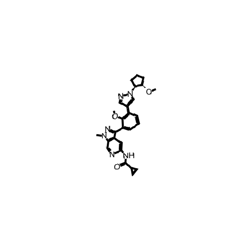 COc1c(-c2cnn([C@H]3CCC[C@@H]3OC)c2)cccc1-c1nn(C)c2cnc(NC(=O)C3CC3)cc12